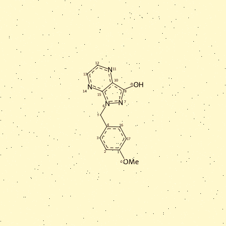 COc1ccc(Cn2nc(O)c3nccnc32)cc1